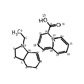 CCN1CCC2CCC=CC21.O=C(O)C1C=CC=C2C=CC=CN21